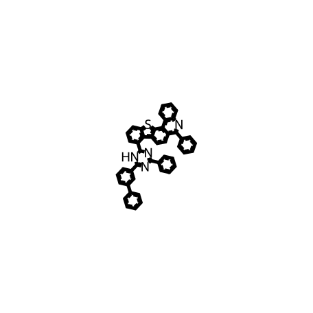 c1ccc(C2=NC(c3cccc4sc5c(ccc6c(-c7ccccc7)nc7ccccc7c65)c34)NC(c3cccc(-c4ccccc4)c3)=N2)cc1